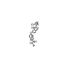 Cn1cc(Cl)c(C(=O)Nc2cc(Oc3ccc4nc(NC(=O)C5CC5)cn4n3)ccc2F)n1